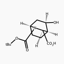 CC(C)(C)OC(=O)N1[C@H]2CC[C@H]([C@H](O)C2)[C@H]1C(=O)O